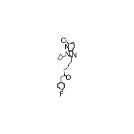 O=C(CCCCc1nc2ccc(Cl)nc2n1C1CCC1)Cc1ccc(F)cc1